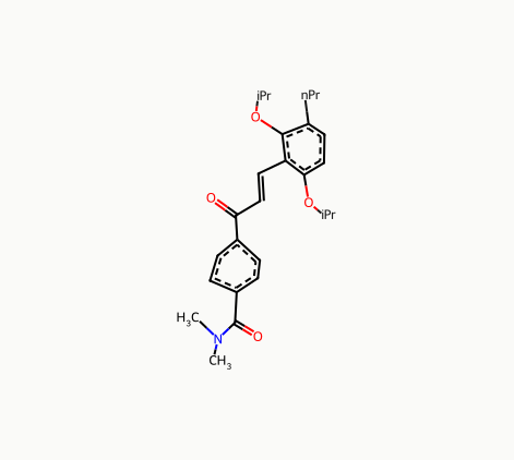 CCCc1ccc(OC(C)C)c(/C=C/C(=O)c2ccc(C(=O)N(C)C)cc2)c1OC(C)C